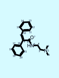 CN(C)CCNC(=O)/C(=C\c1ccccc1)c1ccccc1